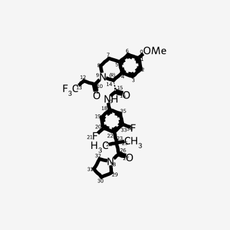 COc1ccc2c(c1)CCN(C(=O)CC(F)(F)F)[C@H]2C(=O)Nc1cc(F)c(C(C)(C)C(=O)N2CCCC2)c(F)c1